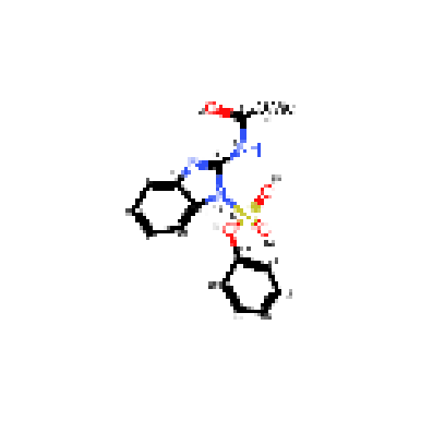 COC(=O)Nc1nc2ccccc2n1S(=O)(=O)Oc1ccccc1